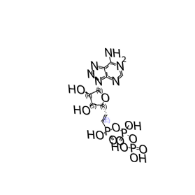 Nc1ncnc2c1nnn2[C@@H]1O[C@H](/C=C/P(=O)(O)OP(=O)(O)OP(=O)(O)O)[C@@H](O)[C@H]1O